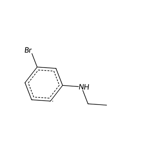 CCNc1[c]ccc(Br)c1